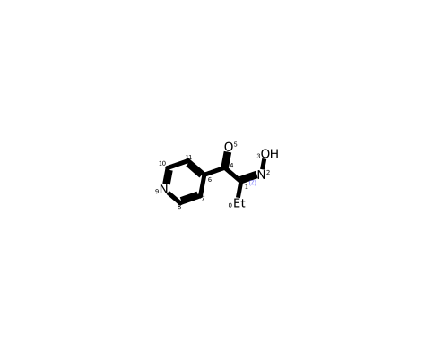 CC/C(=N/O)C(=O)c1ccncc1